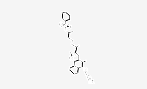 CCOCOc1c(C)c(C/C=C(\C)CC/C=C(\C)CS(=O)(=O)c2ccccc2)c(OCC)c2ccccc12